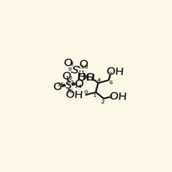 CC(CO)C(O)CO.O=S(=O)(O)OS(=O)(=O)O